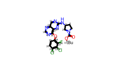 CC(C)(C)OC(=O)N1CC[C@H](Nc2ncc3ncnc(Oc4ccc(Cl)c(Cl)c4F)c3n2)C1